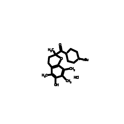 CCCCN1CCN(C(=O)C2(C)CCc3c(C)c(O)c(C)c(C)c3O2)CC1.Cl